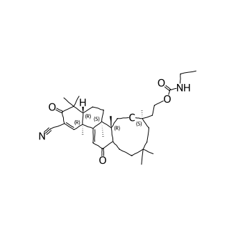 CCNC(=O)OCC[C@@]1(C)CCC(C)(C)CCC2C(=O)C=C3[C@@]4(C)C=C(C#N)C(=O)C(C)(C)[C@@H]4CC[C@@]3(C)[C@]2(C)CC1